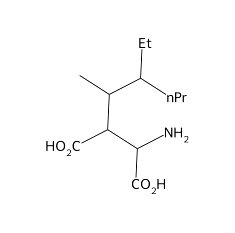 CCCC(CC)C(C)C(C(=O)O)C(N)C(=O)O